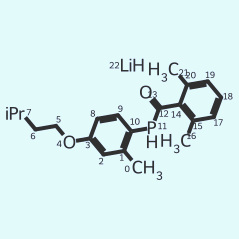 Cc1cc(OCCC(C)C)ccc1PC(=O)c1c(C)cccc1C.[LiH]